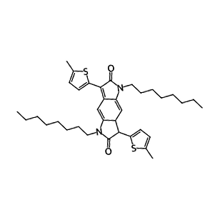 CCCCCCCCN1C(=O)C(c2ccc(C)s2)=C2C=C3C(C=C21)C(c1ccc(C)s1)C(=O)N3CCCCCCCC